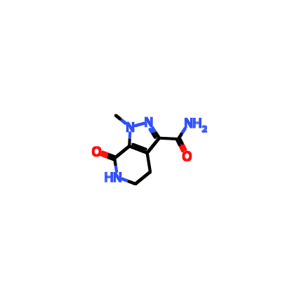 Cn1nc(C(N)=O)c2c1C(=O)NCC2